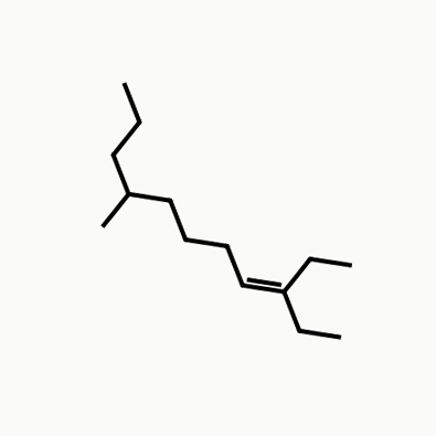 CCCC(C)CCCC=C(CC)CC